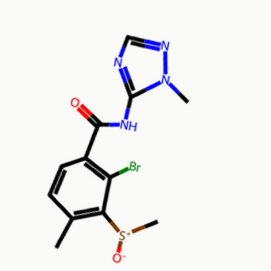 Cc1ccc(C(=O)Nc2ncnn2C)c(Br)c1[S+](C)[O-]